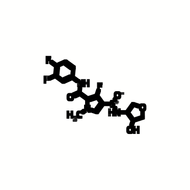 Cn1cc([S+]([O-])NC2COCC2O)c(F)c1C(=O)Nc1ccc(F)c(F)c1